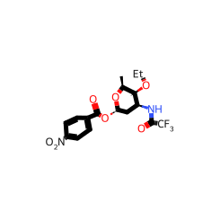 CCO[C@H]1[C@@H](NC(=O)C(F)(F)F)C[C@H](OC(=O)c2ccc([N+](=O)[O-])cc2)O[C@H]1C